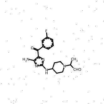 CC(C=O)N1CCC(Nc2nc(N)c(C(=O)c3cccc(F)c3)s2)CC1